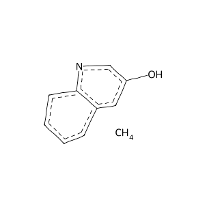 C.Oc1cnc2ccccc2c1